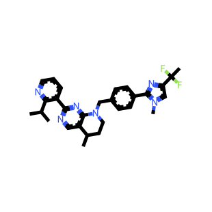 CC(C)c1ncccc1-c1ncc2c(n1)N(Cc1ccc(-c3nc(C(C)(F)F)cn3C)cc1)CCC2C